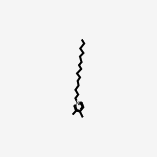 CCCCCCCCCCCCCCC[n+]1ccc(C)c(C)c1